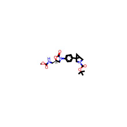 COC(=O)NC[C@@H]1CN(c2ccc(C34CC3CN(C(=O)OC(C)(C)C)C4)cc2)C(=O)O1